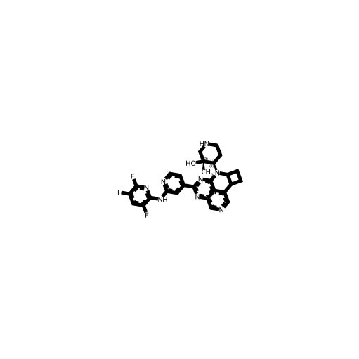 C[C@@]1(O)CNCC[C@H]1N1c2nc(-c3ccnc(Nc4nc(F)c(F)cc4F)c3)nc3cncc(c23)C2CCC21